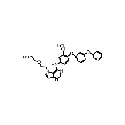 Cl.OCCOCCn1ccc2ncnc(Nc3ccc(Oc4cccc(Oc5ccccc5)c4)c(Cl)c3)c21